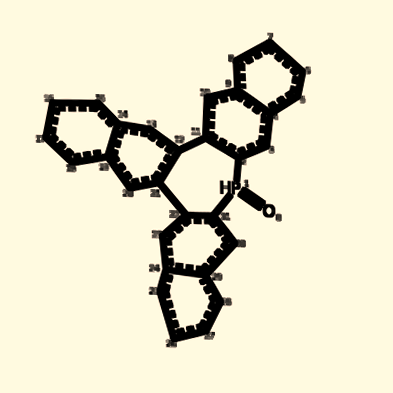 O=[PH]1c2cc3ccccc3cc2-c2cc3ccccc3cc2-c2cc3ccccc3cc21